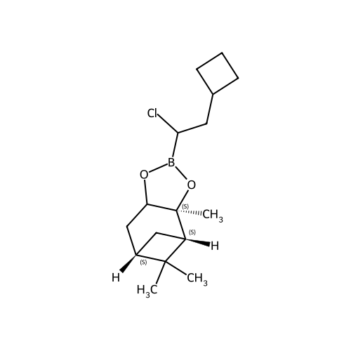 CC1(C)[C@@H]2CC3OB(C(Cl)CC4CCC4)O[C@@]3(C)[C@H]1C2